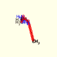 C=NOCC(=O)N[C@H](C(=O)N[C@@H](CCCNC(N)=O)C(=O)Nc1ccc(COC(=O)NCc2cn(CCOCCOCCOCCOCCOCCOCCOCCOCCOCCOCCOCC(C)C)nn2)cc1)C(C)C